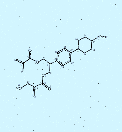 C=C(C)C(=O)OCC(COC(=O)C(=C)CO)c1ccc(C2CCC(CCCCC)CC2)cc1